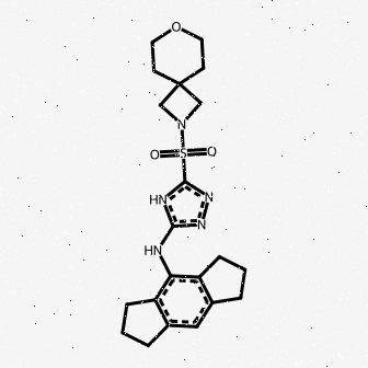 O=S(=O)(c1nnc(Nc2c3c(cc4c2CCC4)CCC3)[nH]1)N1CC2(CCOCC2)C1